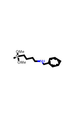 CO[Si](C)(CCCCNCc1ccccc1)OC